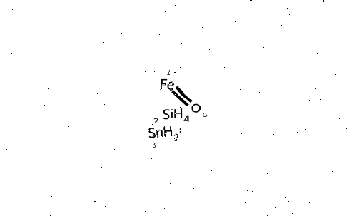 [O]=[Fe].[SiH4].[SnH2]